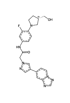 O=C(Cn1cc(-c2ccn3ncnc3c2)cn1)Nc1ccc(N2CC[C@H](CO)C2)c(F)c1